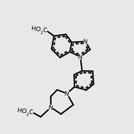 O=C(O)CN1CCN(c2cccc(-n3cnc4cc(C(=O)O)ccc43)c2)CC1